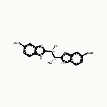 COc1ccc2[nH]c([C@H](O)[C@@H](O)c3nc4cc(OC)ccc4[nH]3)nc2c1